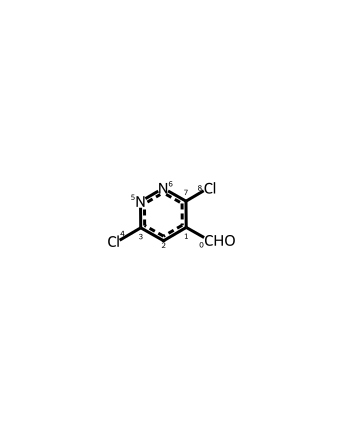 O=Cc1cc(Cl)nnc1Cl